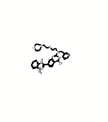 CC[C@H](OC(=O)N(CCOCCN1CCOCC1)Cc1cccnc1)c1ccc(C(=O)Nc2ccccc2N)cc1